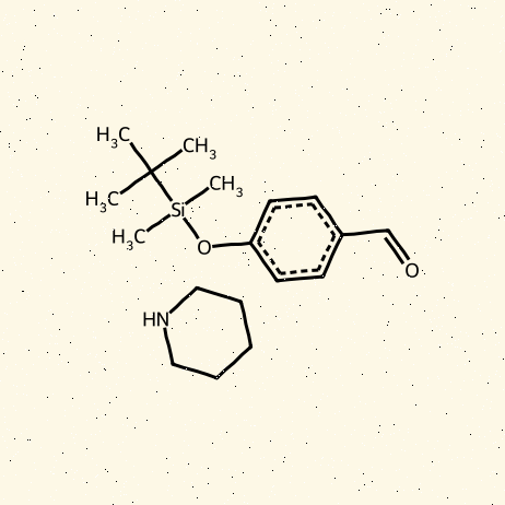 C1CCNCC1.CC(C)(C)[Si](C)(C)Oc1ccc(C=O)cc1